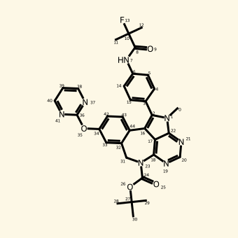 Cn1c(-c2ccc(NC(=O)C(C)(C)F)cc2)c2c3c(ncnc31)N(C(=O)OC(C)(C)C)Cc1cc(Oc3ncccn3)ccc1-2